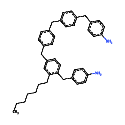 CCCCCCCc1cc(Cc2ccc(Cc3ccc(Cc4ccc(N)cc4)cc3)cc2)ccc1Cc1ccc(N)cc1